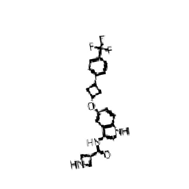 O=C(Nc1c[nH]c2ccc(O[C@H]3C[C@H](c4ccc(C(F)(F)F)cc4)C3)cc12)C1CNC1